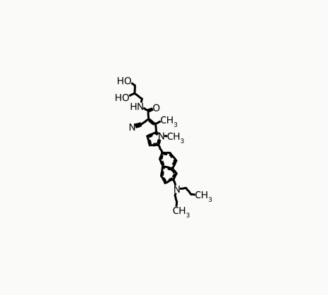 CCCN(CCC)c1ccc2cc(-c3ccc(/C(C)=C(\C#N)C(=O)NCC(O)CO)n3C)ccc2c1